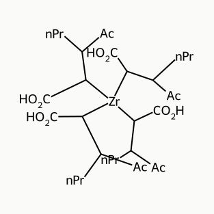 CCCC(C(C)=O)[CH](C(=O)O)[Zr]([CH](C(=O)O)C(CCC)C(C)=O)([CH](C(=O)O)C(CCC)C(C)=O)[CH](C(=O)O)C(CCC)C(C)=O